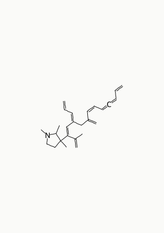 C=CC=C=C/C=C\C(=C)CC(=C/C=C)/C=C(\C(=C)C)C1(C)CCN(C)C1C